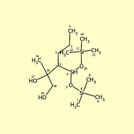 CCC[C]([SiH](O[Si](C)(C)C)O[Si](C)(C)C)C(C)(O)CO